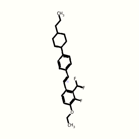 CCCC1CCC(c2ccc(/C=C/c3ccc(OCC)c(F)c3C(F)F)cc2)CC1